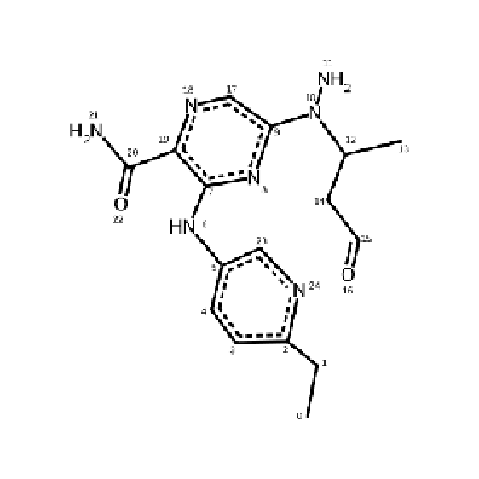 CCc1ccc(Nc2nc(N(N)C(C)CC=O)cnc2C(N)=O)cn1